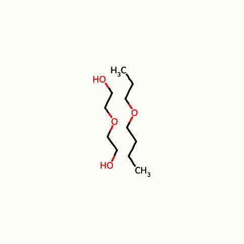 CCCCOCCC.OCCOCCO